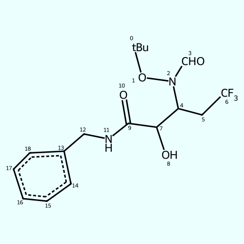 CC(C)(C)ON(C=O)C(CC(F)(F)F)C(O)C(=O)NCc1ccccc1